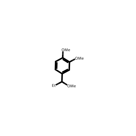 [CH2]CC(OC)c1ccc(OC)c(OC)c1